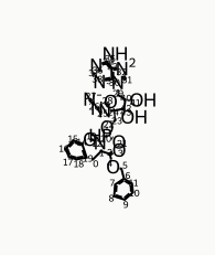 CC(C(=O)OCc1ccccc1)N(Oc1ccccc1)[PH](=O)OC[C@@]1(N=[N+]=[N-])O[C@@H](n2cnc3c(N)ncnc32)[C@H](O)[C@@H]1O